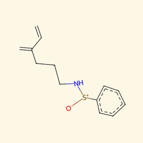 C=CC(=C)CCCN[S+]([O-])c1ccccc1